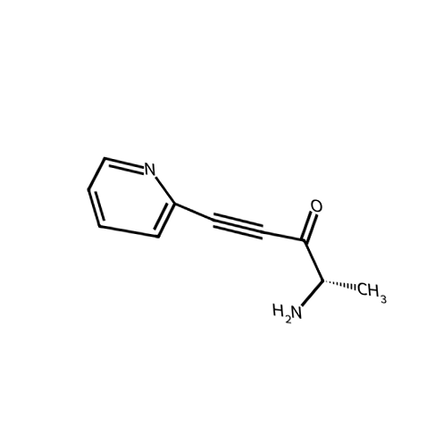 C[C@H](N)C(=O)C#Cc1ccccn1